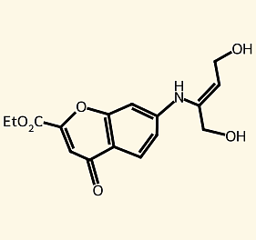 CCOC(=O)c1cc(=O)c2ccc(N/C(=C\CO)CO)cc2o1